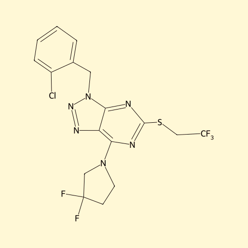 FC(F)(F)CSc1nc(N2CCC(F)(F)C2)c2nnn(Cc3ccccc3Cl)c2n1